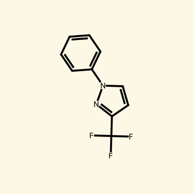 FC(F)(F)c1ccn(-c2ccccc2)n1